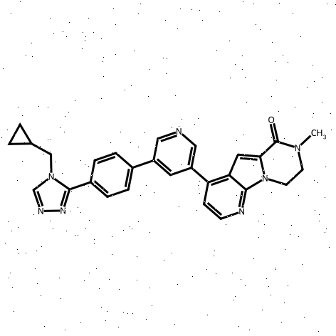 CN1CCn2c(cc3c(-c4cncc(-c5ccc(-c6nncn6CC6CC6)cc5)c4)ccnc32)C1=O